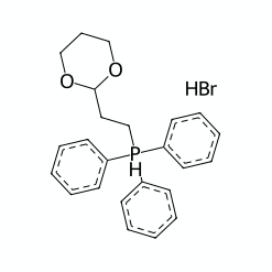 Br.c1ccc([PH](CCC2OCCCO2)(c2ccccc2)c2ccccc2)cc1